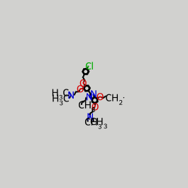 [CH2]CCOc1cc(OCCCN(CC)CC)cc2c1nc(-c1ccc(OCCc3ccc(Cl)cc3)c(OCCCN(CC)CC)c1)n2CCCC